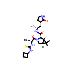 CC(C)(C)[C@H](NC(=S)NC1CCC1)C(=O)N1C[C@H]2[C@@H]([C@H]1C(=O)N[C@H](C#N)C[C@@H]1CCNC1=O)C2(C)C